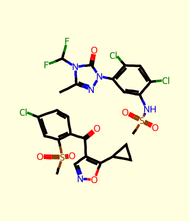 CS(=O)(=O)c1cc(Cl)ccc1C(=O)c1cnoc1C1CC1.Cc1nn(-c2cc(NS(C)(=O)=O)c(Cl)cc2Cl)c(=O)n1C(F)F